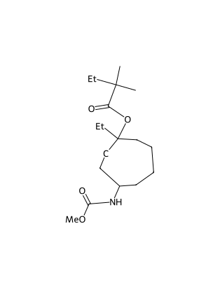 CCC1(OC(=O)C(C)(C)CC)CCCCC(NC(=O)OC)CC1